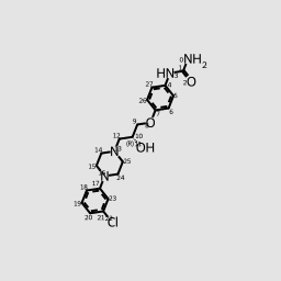 NC(=O)Nc1ccc(OC[C@H](O)CN2CCN(c3cccc(Cl)c3)CC2)cc1